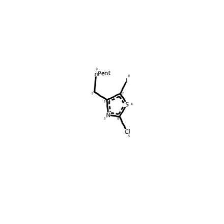 CCCCCCc1nc(Cl)sc1I